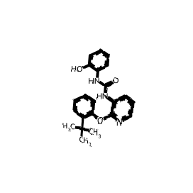 CC(C)(C)c1ccccc1Oc1ncccc1NC(=O)Nc1ccccc1O